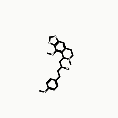 COc1ccc(CCC(O)CC2c3c(cc4c(c3OC)OCO4)CCN2C)cc1